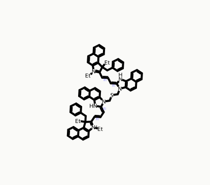 CC[N+]1=C(/C=C/C=C2\Nc3c(ccc4ccccc34)N2CSCN2/C(=C/C=C/C3=[N+](CC)c4ccc5ccccc5c4C3(CC)Cc3ccccc3)Nc3c2ccc2ccccc32)C(CC)(Cc2ccccc2)c2c1ccc1ccccc21